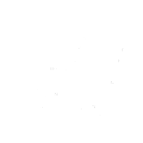 CCC1(C(=O)O)CN(C(=O)OC(C)(C)C)CCC1c1c([N+](=O)[O-])cnc2c(F)c(-c3c(F)cccc3OCc3ccc(OC)cc3)c(Cl)cc12